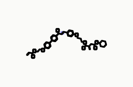 C=CC(=O)OCCOc1ccc(-c2ccc(C(=O)/C=C/c3ccc(OCCCOC(=O)C(=C)CC(=O)OC4CCCCC4)cc3)cc2)cc1